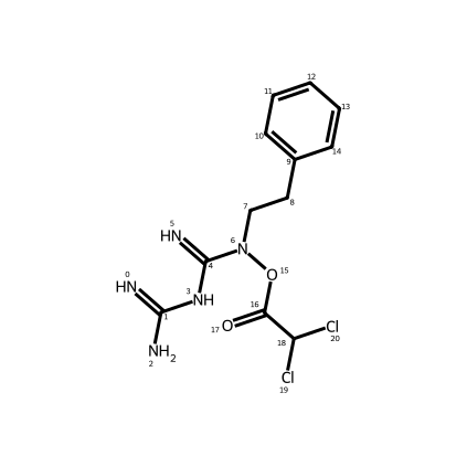 N=C(N)NC(=N)N(CCc1ccccc1)OC(=O)C(Cl)Cl